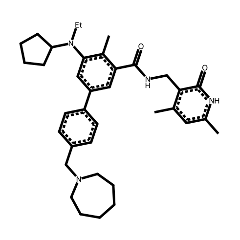 CCN(c1cc(-c2ccc(CN3CCCCCC3)cc2)cc(C(=O)NCc2c(C)cc(C)[nH]c2=O)c1C)C1CCCC1